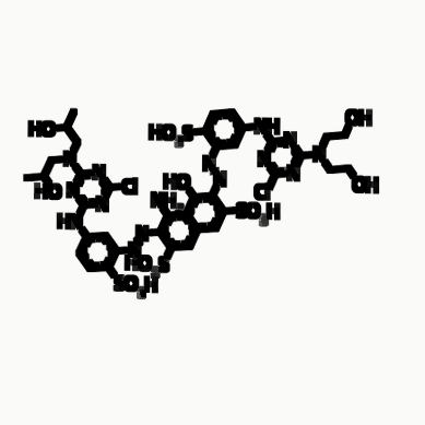 CC(O)CN(CC(C)O)c1nc(Cl)nc(Nc2ccc(S(=O)(=O)O)c(/N=N/c3c(S(=O)(=O)O)cc4cc(S(=O)(=O)O)c(/N=N/c5cc(Nc6nc(Cl)nc(N(CCO)CCO)n6)ccc5S(=O)(=O)O)c(O)c4c3N)c2)n1